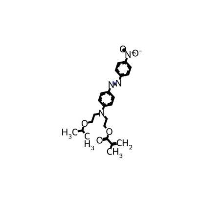 C=C(C)C(=O)OCCN(CCOC(C)C)c1ccc(/N=N/c2ccc([N+](=O)[O-])cc2)cc1